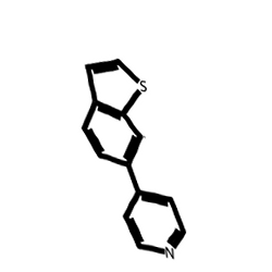 [c]1c(-c2ccncc2)ccc2ccsc12